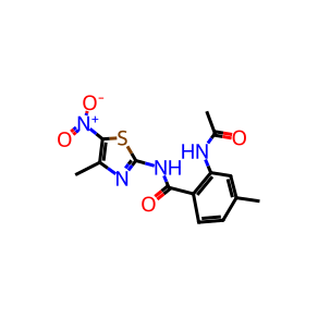 CC(=O)Nc1cc(C)ccc1C(=O)Nc1nc(C)c([N+](=O)[O-])s1